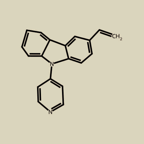 C=Cc1ccc2c(c1)c1ccccc1n2-c1ccncc1